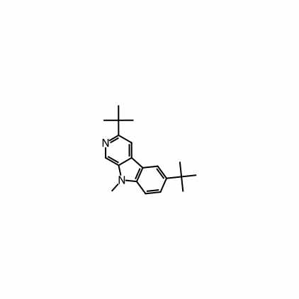 Cn1c2ccc(C(C)(C)C)cc2c2cc(C(C)(C)C)ncc21